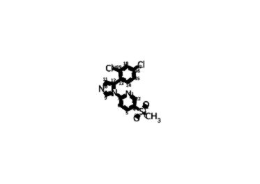 CS(=O)(=O)c1ccc(-n2cncc2-c2ccc(Cl)cc2Cl)nc1